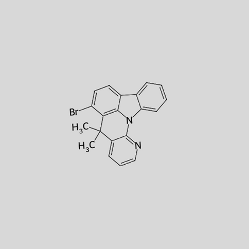 CC1(C)c2cccnc2-n2c3ccccc3c3ccc(Br)c1c32